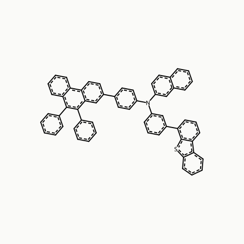 c1ccc(-c2c(-c3ccccc3)c3cc(-c4ccc(N(c5cccc(-c6cccc7c6sc6ccccc67)c5)c5ccc6ccccc6c5)cc4)ccc3c3ccccc23)cc1